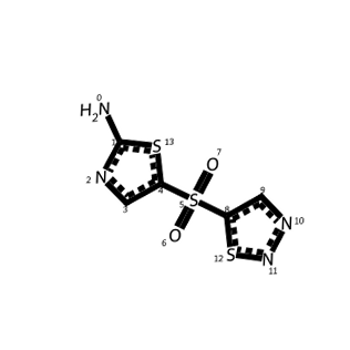 Nc1ncc(S(=O)(=O)c2cnns2)s1